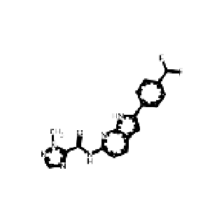 Cn1ncnc1C(=O)Nc1ccc2cc(-c3ccc(C(F)F)cc3)[nH]c2n1